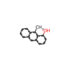 Cc1c2ccccc2cc2cccc(O)c12